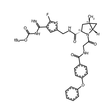 CC(C)(C)OC(=O)NC(=N)c1cc(CNC(=O)[C@@H]2C[C@]3(C)C[C@@H]3N2C(=O)CNC(=O)c2ccc(Oc3ccccc3)cc2)sc1F